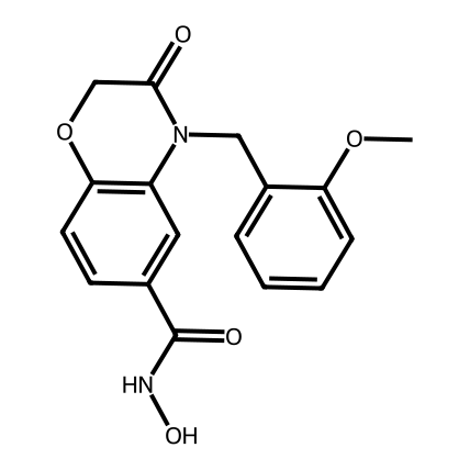 COc1ccccc1CN1C(=O)COc2ccc(C(=O)NO)cc21